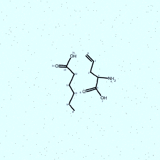 C=CCC(N)C(=O)O.CCCCCC(=O)O